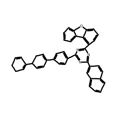 C1=CC(C2C=CC(c3ccc(-c4nc(-c5ccc6ccccc6c5)nc(-c5cccc6oc7ccccc7c56)n4)cc3)=CC2)=CCC1